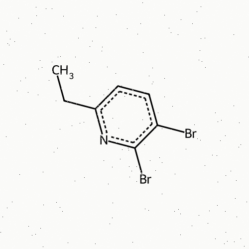 CCc1ccc(Br)c(Br)n1